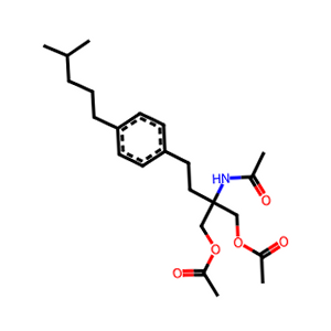 CC(=O)NC(CCc1ccc(CCCC(C)C)cc1)(COC(C)=O)COC(C)=O